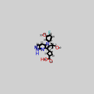 COCC(C)(C)c1c(C2CCC(C(=O)O)C2)c2nc3[nH]ncc3cc2n1-c1ccc(F)c(OC)c1